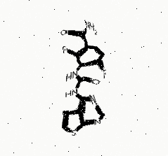 NC(=O)c1ccc(F)c(NC(=O)Nc2ncnc3sccc23)c1F